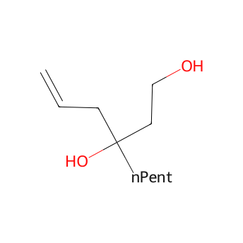 C=CCC(O)(CCO)CCCCC